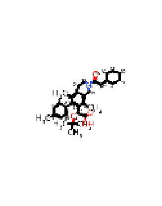 Cc1ccc(-c2c(C)c3c(c(C)c2C(OC(C)(C)C)C(=O)O)CN(C(=O)CC2CCCCC2)CC3)cc1